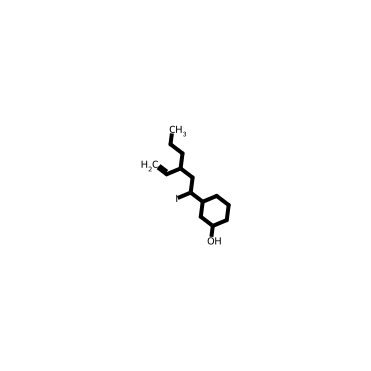 C=CC(CCC)CC(I)C1CCCC(O)C1